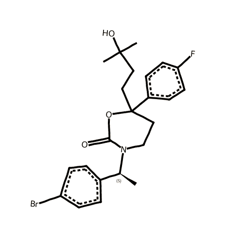 C[C@@H](c1ccc(Br)cc1)N1CCC(CCC(C)(C)O)(c2ccc(F)cc2)OC1=O